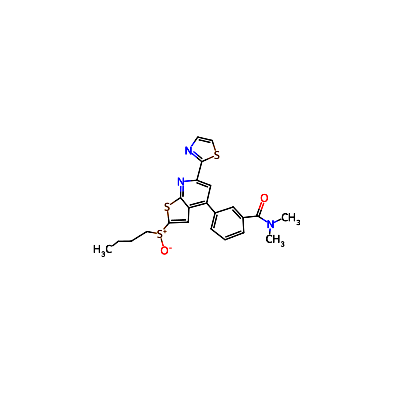 CCCC[S+]([O-])c1cc2c(-c3cccc(C(=O)N(C)C)c3)cc(-c3nccs3)nc2s1